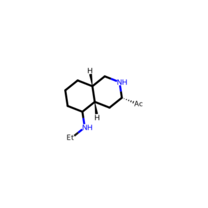 CCNC1CCC[C@@H]2CN[C@H](C(C)=O)C[C@H]12